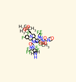 CC(C)(C#Cc1ccc(-c2ccc(Cl)c3c(N(C(=O)CN4CCOCC4)S(C)(=O)=O)nn(CC(F)(F)F)c23)c([C@H](Cc2cc(F)cc(F)c2)NC(=O)Cn2nc(C(F)(F)F)c3c2C(F)(F)[C@@H]2N[C@H]32)n1)S(C)(=O)=O